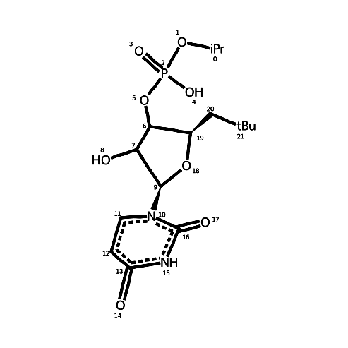 CC(C)OP(=O)(O)OC1C(O)[C@H](n2ccc(=O)[nH]c2=O)O[C@@H]1CC(C)(C)C